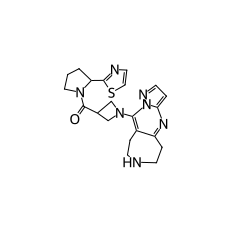 O=C(C1CN(c2c3c(nc4ccnn24)CCNCC3)C1)N1CCCC1c1nccs1